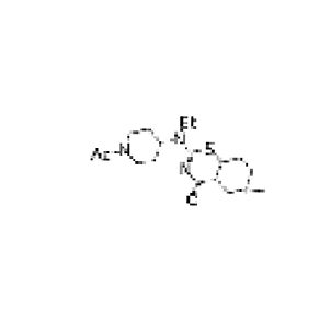 CCN(C1=NC(=O)C2CC(C)(C)CCC2S1)C1CCN(C(C)=O)CC1